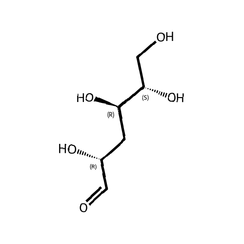 O=C[C@H](O)C[C@@H](O)[C@@H](O)CO